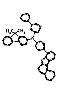 CC1(C)c2ccccc2-c2ccc(N(c3ccc(-c4cccc5c4sc4ccc6ccccc6c45)cc3)c3cccc(-c4ccccc4)c3)cc21